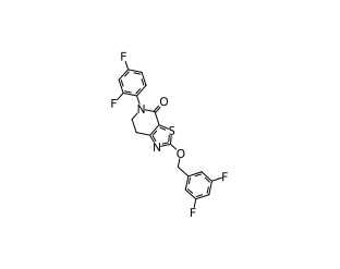 O=C1c2sc(OCc3cc(F)cc(F)c3)nc2CCN1c1ccc(F)cc1F